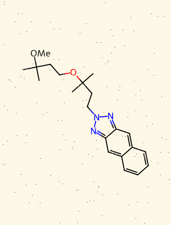 COC(C)(C)CCOC(C)(C)CCn1nc2cc3ccccc3cc2n1